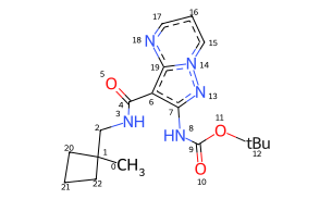 CC1(CNC(=O)c2c(NC(=O)OC(C)(C)C)nn3cccnc23)CCC1